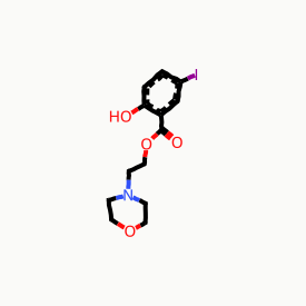 O=C(OCCN1CCOCC1)c1cc(I)ccc1O